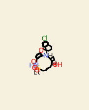 CC[C@H]1C/C=C/C[C@H](O)[C@@H]2CC[C@H]2CN2C[C@@]3(CCCc4cc(Cl)ccc43)COc3ccc(cc32)C(=O)NS1(=O)=O